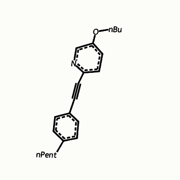 CCCCCc1ccc(C#Cc2ccc(OCCCC)cn2)cc1